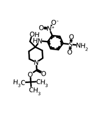 CC(C)(C)OC(=O)N1CCC(CO)(Nc2ccc(S(N)(=O)=O)cc2[N+](=O)[O-])CC1